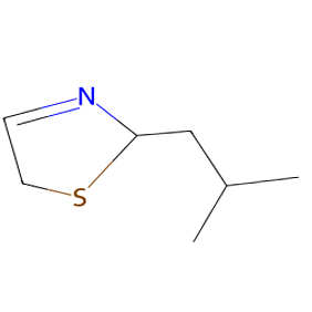 CC(C)CC1N=CCS1